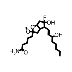 CCCCCC(O)C=CC1C2CC(CCCCC(N)=O)(OC)OC2CC1(O)F